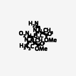 COC(=O)C(C)(C)n1cc(N)nc1C.COC(=O)C(C)(C)n1cc([N+](=O)[O-])nc1C